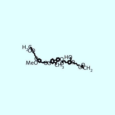 C=CC(=O)OCCCCOc1ccc(C=CC(=O)Oc2ccc3c(c2)C(C)c2cc(OCOC=Cc4ccc(OCCCCOC(=O)C=C)c(OC)c4)ccc2-3)cc1CO